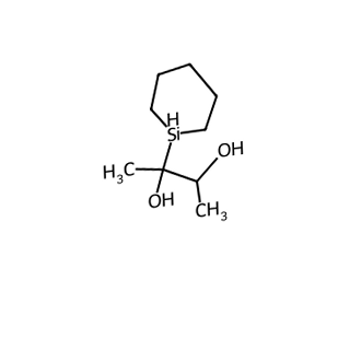 CC(O)C(C)(O)[SiH]1CCCCC1